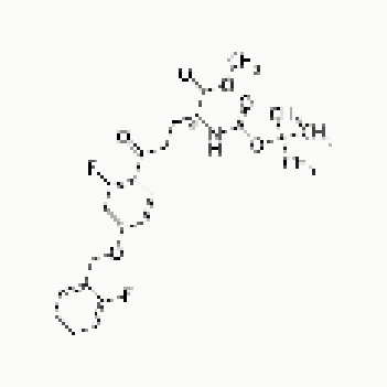 COC(=O)[C@H](CCC(=O)c1ccc(OCc2ccccc2F)cc1F)NC(=O)OC(C)(C)C